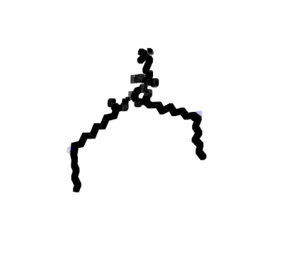 CCCCCC/C=C\CCCCCCCC(=O)OC[C@H](COP(=O)(O)OCC[N+](C)(C)C)OC(=O)CCCCCCC/C=C\CCCCCC